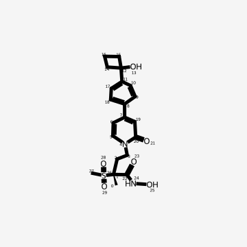 C[C@@](CCn1ccc(-c2ccc(C3(O)CCC3)cc2)cc1=O)(C(=O)NO)S(C)(=O)=O